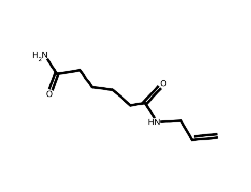 C=CCNC(=O)CCCCC(N)=O